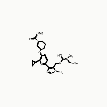 CC[C@H](C)CN(C)C(O)OCc1c(-c2ccc(O[C@H]3CCC[C@H](C(=O)OC)C3)c(C3CC3)n2)nnn1C